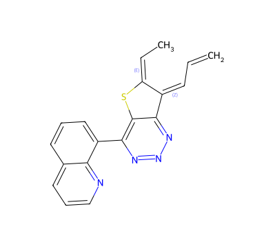 C=C/C=c1\c(=C/C)sc2c(-c3cccc4cccnc34)nnnc12